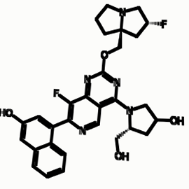 OC[C@H]1CC(O)CN1c1nc(OC[C@@]23CCCN2C[C@H](F)C3)nc2c(F)c(-c3cc(O)cc4ccccc34)ncc12